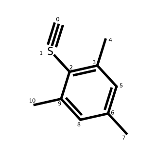 C#Sc1c(C)cc(C)cc1C